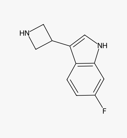 Fc1ccc2c(C3CNC3)c[nH]c2c1